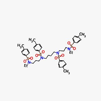 CCN(CCCN(CCCCN(CCCN(CC)S(=O)(=O)c1ccc(C)cc1)S(=O)(=O)c1ccc(C)cc1)S(=O)(=O)c1ccc(C)cc1)S(=O)(=O)c1ccc(C)cc1